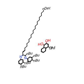 CCCCCCCCCCCCCCCCCCCCCCCCCCCCC=CC(=Nc1ccc(CCCC)c(CCCC)c1)C(CCCC)=Nc1ccc(CCCC)c(CCCC)c1.CCc1cc(O)c(O)c2ccccc12.[Pd]